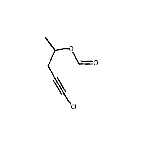 CC(CC#CCl)O[C]=O